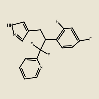 Fc1ccc(C(Cc2cn[nH]c2)C(F)(F)c2ccccn2)c(F)c1